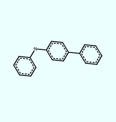 c1ccc([N]c2ccc(-c3ccccc3)cc2)cc1